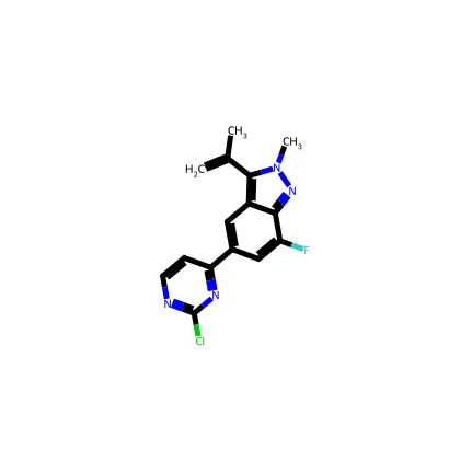 C=C(C)c1c2cc(-c3ccnc(Cl)n3)cc(F)c2nn1C